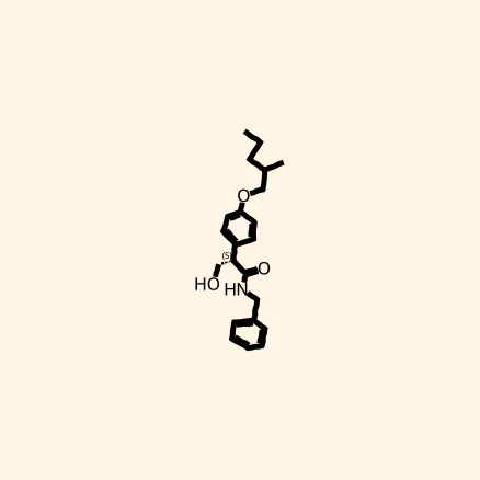 CCCC(C)COc1ccc([C@@H](CO)C(=O)NCc2ccccc2)cc1